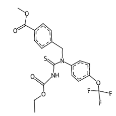 CCOC(=O)NC(=S)N(Cc1ccc(C(=O)OC)cc1)c1ccc(OC(F)(F)F)cc1